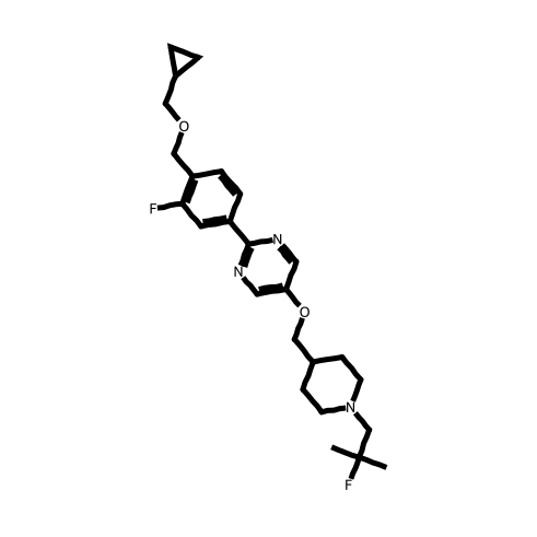 CC(C)(F)CN1CCC(COc2cnc(-c3ccc(COCC4CC4)c(F)c3)nc2)CC1